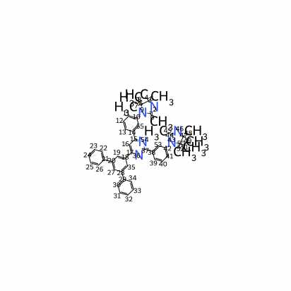 CC1=NC(C)(C)C(C)(C)N1c1cccc(-c2cc(-c3cc(-c4ccccc4)cc(-c4ccccc4)c3)nc(-c3cccc(N4C(C)=NC(C)(C)C4(C)C)c3)n2)c1